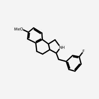 COc1ccc2c(c1)CCC1C(Cc3cccc(F)c3)NCC21